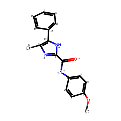 CCOc1ccc(NC(=O)c2nc(CC)c(-c3ccccc3)[nH]2)cc1